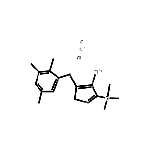 Cc1cc(C)c(C)c(CC2=[C]([Ti+3])C([Si](C)(C)C)=CC2)c1.[Cl-].[Cl-].[Cl-]